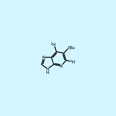 [2H]c1nc2[nH]cnc2c([2H])c1C(C)(C)C